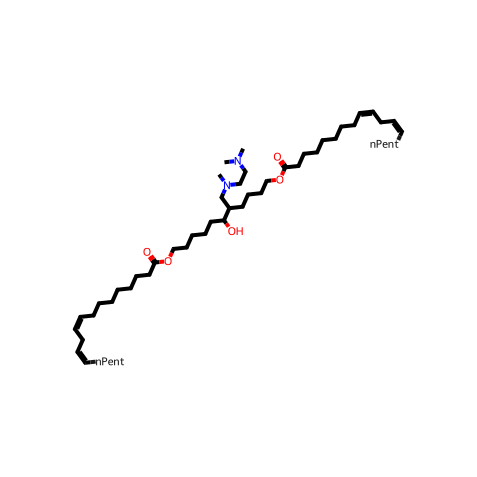 CCCCC/C=C\C/C=C\CCCCCCCC(=O)OCCCCCC(O)C(CCCCOC(=O)CCCCCCC/C=C\C/C=C\CCCCC)CN(C)CCN(C)C